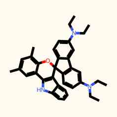 CCN(CC)c1ccc2c(c1)-c1cc(N(CC)CC)ccc1C21Oc2c(C)cc(C)cc2-c2[nH]c3ccccc3c21